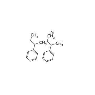 CCC(C)c1ccccc1.CCC(C)c1ccccc1.[Ni]